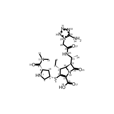 CC[C@H]1C(S[C@@H]2CN[C@H](C(=O)N(C)C)C2)=C(C(=O)O)N2C(=O)[C@H]([C@@H](C)NC(=O)Cn3nnnc3N)C12